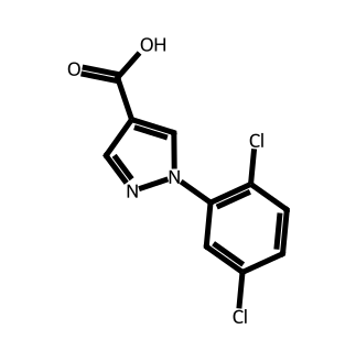 O=C(O)c1cnn(-c2cc(Cl)ccc2Cl)c1